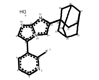 Cl.Fc1ncccc1-c1csc2nc(C34CC5CC(CC(C5)C3)C4)cn12